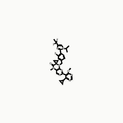 COc1ncnc(C2CC2)c1-c1ncc2c(n1)N(Cc1ccc(-c3nc(C(C)(F)F)cn3C(C)C)c(F)c1)C1(CC1)C(=O)N2C